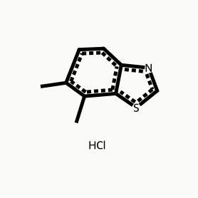 Cc1ccc2ncsc2c1C.Cl